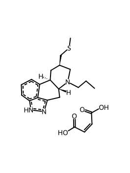 CCCN1C[C@H](CSC)C[C@@H]2c3cccc4[nH]nc(c34)C[C@H]21.O=C(O)/C=C\C(=O)O